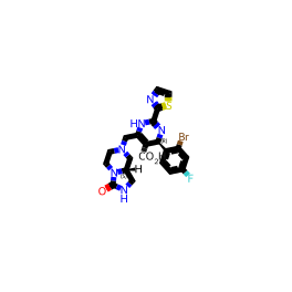 O=C(O)C1=C(CN2CCN3C(=O)NC[C@H]3C2)NC(c2nccs2)=N[C@H]1c1ccc(F)cc1Br